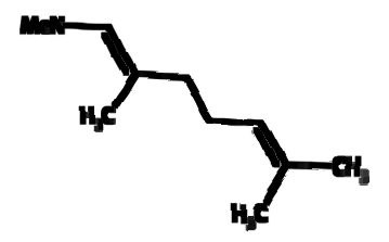 CN/C=C(\C)CCC=C(C)C